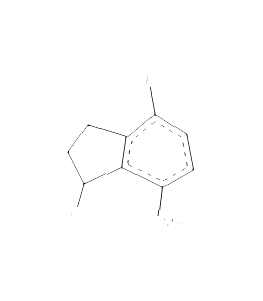 CSc1ccc(F)c2c1C(O)CC2